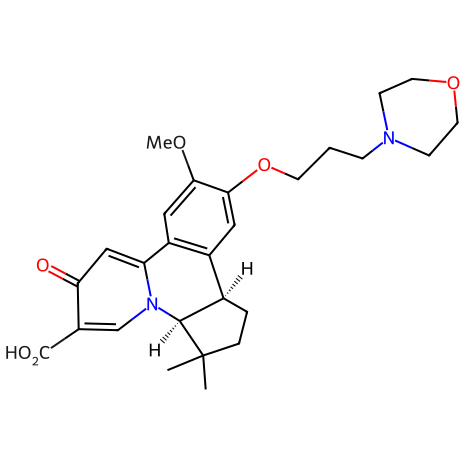 COc1cc2c(cc1OCCCN1CCOCC1)[C@H]1CCC(C)(C)[C@H]1n1cc(C(=O)O)c(=O)cc1-2